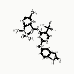 Cc1cnc(N(C)S(C)(=O)=O)c(CNc2nc(Nc3ccc4c(c3)CC(=O)N4)ncc2C(F)(F)F)n1